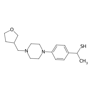 CC(S)c1ccc(N2CCN(CC3CCOC3)CC2)cc1